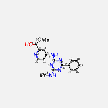 COC(O)c1cc(Nc2nc(NC(C)C)nc(-c3ccccc3)n2)ccn1